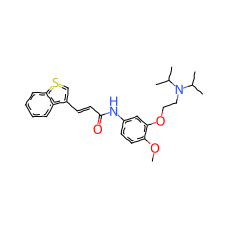 COc1ccc(NC(=O)C=Cc2csc3ccccc23)cc1OCCN(C(C)C)C(C)C